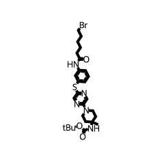 CC1(NC(=O)OC(C)(C)C)CCN(c2cnc(Sc3cccc(NC(=O)CCCCCBr)c3)cn2)CC1